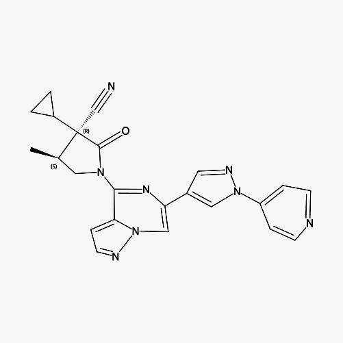 C[C@@H]1CN(c2nc(-c3cnn(-c4ccncc4)c3)cn3nccc23)C(=O)[C@]1(C#N)C1CC1